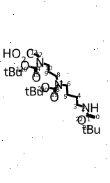 C=C(NCCCCN(CCCN(CC(=O)O)C(=O)OC(C)(C)C)C(=O)OC(C)(C)C)OC(C)(C)C